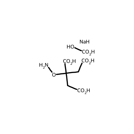 NOC(CC(=O)O)(CC(=O)O)C(=O)O.O=C(O)O.[NaH]